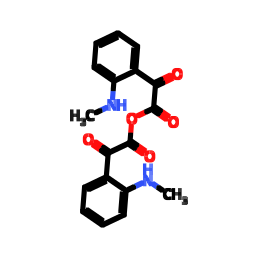 CNc1ccccc1C(=O)C(=O)OC(=O)C(=O)c1ccccc1NC